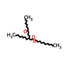 CCCCCCCCCCCOC(=O)CC(CCCCCCCC)CCCC(=O)CCCCCCC